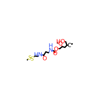 CCC(CO)CC(COC(=O)NCCC(=O)NCCSSC)OC